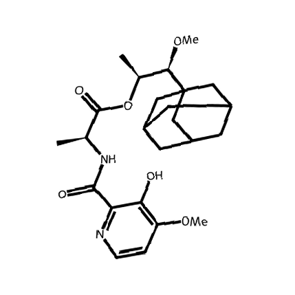 COc1ccnc(C(=O)N[C@@H](C)C(=O)O[C@@H](C)[C@@H](OC)C23CC4CC(CC(C4)C2)C3)c1O